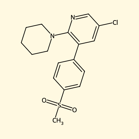 CS(=O)(=O)c1ccc(-c2cc(Cl)cnc2N2CCCCC2)cc1